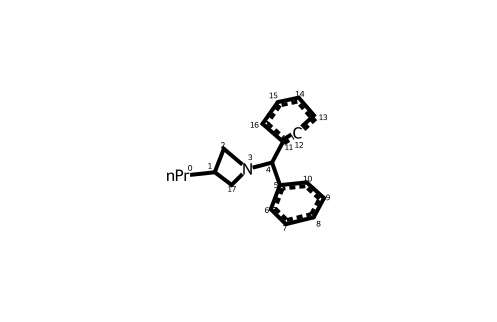 CCCC1CN(C(c2ccccc2)c2ccccc2)C1